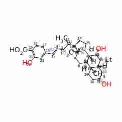 CC[C@H]1[C@@H](O)[C@@H]2[C@H](CC[C@]3(C)[C@@H]([C@H](C)C/C=C/c4ccc(C(=O)O)c(O)c4)CC[C@@H]23)[C@@]2(C)CC[C@@H](O)C[C@@H]12